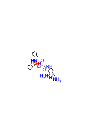 Nc1nc(N)c2cc(NC(=O)C[C@@H]3CCCN3C(=O)[C@@H](Cc3ccccc3)NS(=O)(=O)Cc3ccccc3)ccc2n1